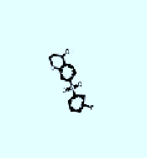 O=S(=O)(c1cccc(F)c1)c1ccc2c(c1)OCCC2O